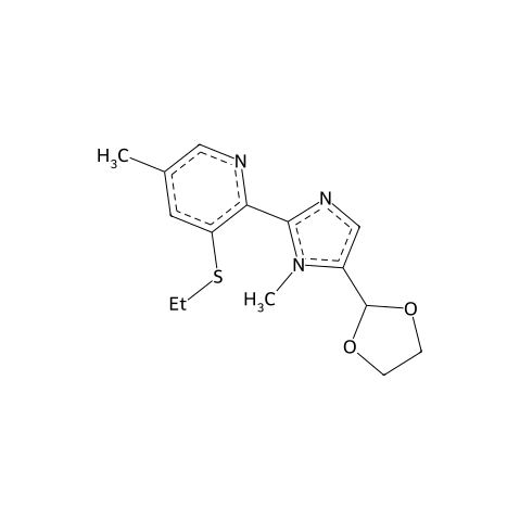 CCSc1cc(C)cnc1-c1ncc(C2OCCO2)n1C